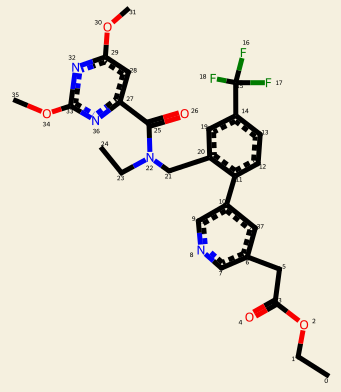 CCOC(=O)Cc1cncc(-c2ccc(C(F)(F)F)cc2CN(CC)C(=O)c2cc(OC)nc(OC)n2)c1